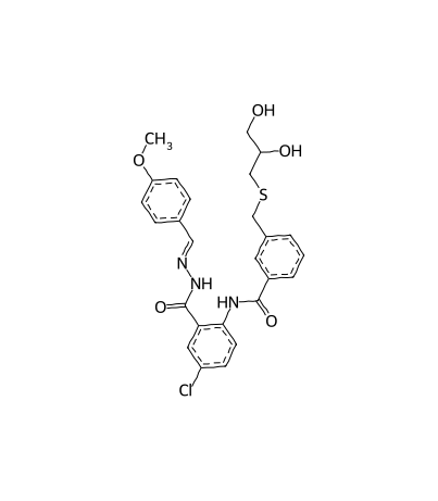 COc1ccc(/C=N/NC(=O)c2cc(Cl)ccc2NC(=O)c2cccc(CSCC(O)CO)c2)cc1